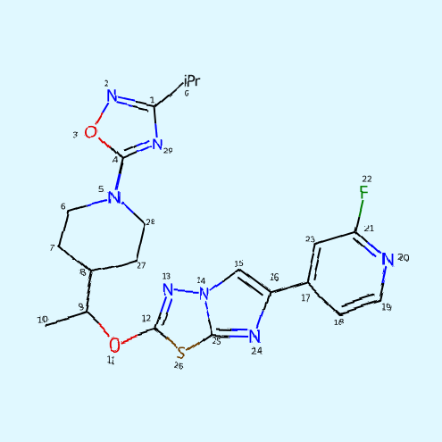 CC(C)c1noc(N2CCC(C(C)Oc3nn4cc(-c5ccnc(F)c5)nc4s3)CC2)n1